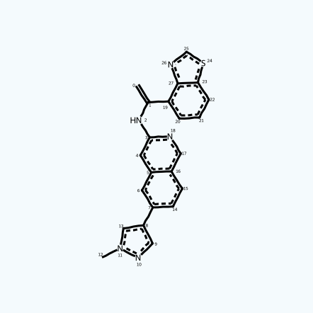 C=C(Nc1cc2cc(-c3cnn(C)c3)ccc2cn1)c1cccc2scnc12